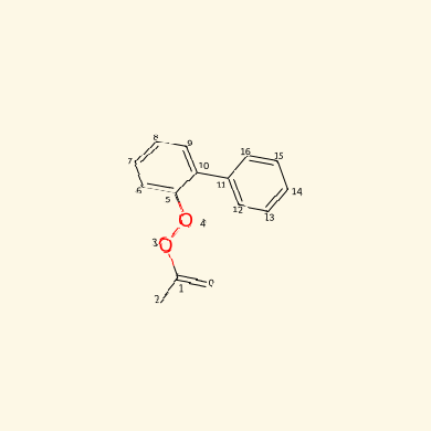 C=C(C)OOc1ccccc1-c1ccccc1